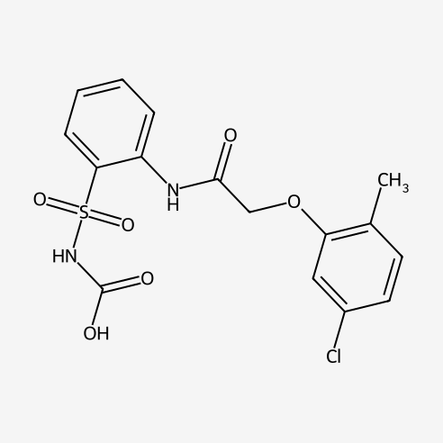 Cc1ccc(Cl)cc1OCC(=O)Nc1ccccc1S(=O)(=O)NC(=O)O